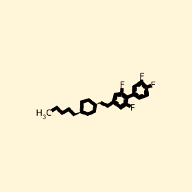 CCCCC[C@H]1CC[C@H](CCc2cc(F)c(-c3ccc(F)c(F)c3)c(F)c2)CC1